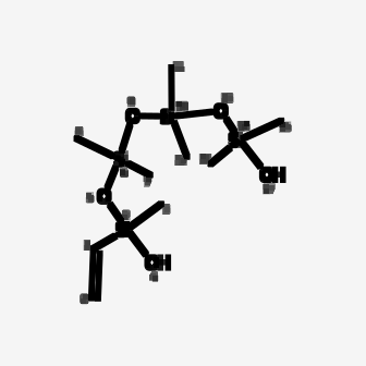 C=C[Si](C)(O)O[Si](C)(C)O[Si](C)(C)O[Si](C)(C)O